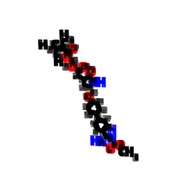 COC(=O)NC(=N)c1ccc(-c2ccc(OC[C@@H]3C[C@@H](CC(=O)OCOC(=O)C(C)(C)C)C(=O)N3)cc2)cc1